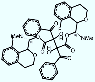 CN[C@H](OC(=O)C(O)(C(=O)c1ccccc1)C(O)(C(=O)O[C@@H](NC)C1OCCc2cccc(F)c21)C(=O)c1ccccc1)C1OCCc2cccc(F)c21